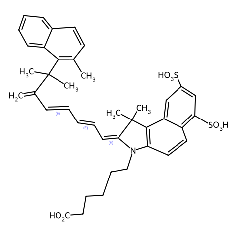 C=C(/C=C/C=C/C=C1/N(CCCCCC(=O)O)c2ccc3c(S(=O)(=O)O)cc(S(=O)(=O)O)cc3c2C1(C)C)C(C)(C)c1c(C)ccc2ccccc12